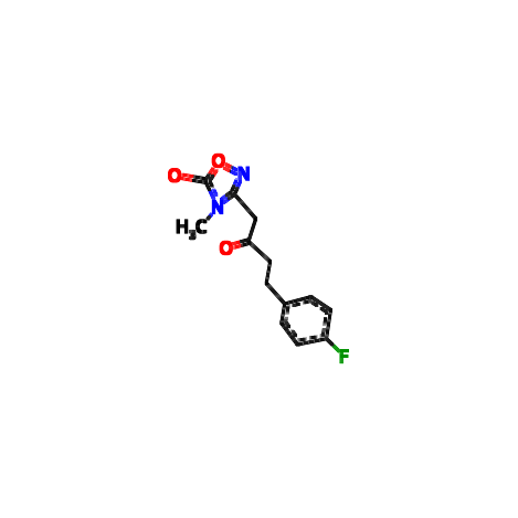 Cn1c(CC(=O)CCc2ccc(F)cc2)noc1=O